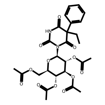 CCC1(c2ccccc2)C(=O)NC(=O)N([C@@H]2O[C@H](COC(C)=O)[C@@H](OC(C)=O)[C@H](OC(C)=O)[C@H]2OC(C)=O)C1=O